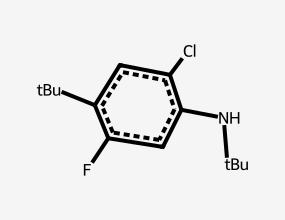 CC(C)(C)Nc1cc(F)c(C(C)(C)C)cc1Cl